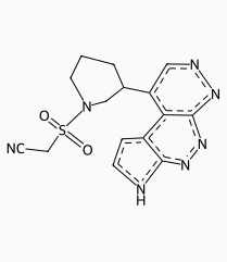 N#CCS(=O)(=O)N1CCCC(c2cnnc3nnc4[nH]ccc4c23)C1